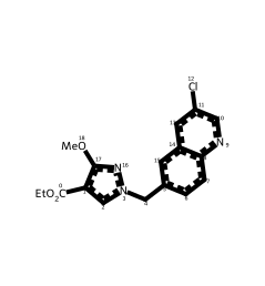 CCOC(=O)c1cn(Cc2ccc3ncc(Cl)cc3c2)nc1OC